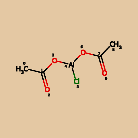 CC(=O)[O][Al]([Cl])[O]C(C)=O